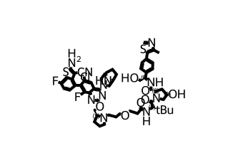 Cc1ncsc1-c1ccc([C@H](CO)NC(=O)[C@@H]2C[C@@H](O)CN2C(=O)[C@@H](NC(=O)CCOCCCN2CCC[C@H]2COc2nc(N3CC4CCC(C3)N4)c3cc(Cl)c(-c4ccc(F)c5sc(N)c(C#N)c45)c(F)c3n2)C(C)(C)C)cc1